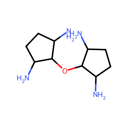 NC1CCC(N)C1OC1C(N)CCC1N